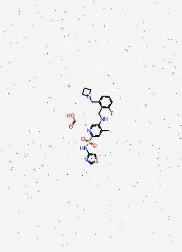 Cc1cc(S(=O)(=O)Nc2cscn2)ncc1NCc1c(F)cccc1CN1CCC1.O=CO